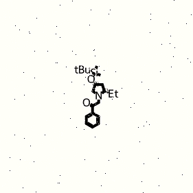 CC[C@H]1C[C@@H](O[Si](C)(C)C(C)(C)C)CN1CC(=O)c1ccccc1